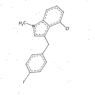 Cn1cc(Cc2ccc(I)cc2)c2c(Cl)cccc21